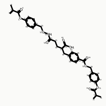 CC(C)C(=O)Oc1ccc(CONC(=O)CCC(Cc2ccc(C(=O)OCc3ccc(OC(=O)C(C)C)cc3)cc2)C(=O)O)cc1